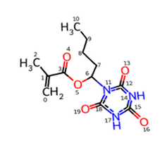 C=C(C)C(=O)OC(CCCC)n1c(=O)[nH]c(=O)[nH]c1=O